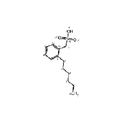 CCCCCCc1ccccc1CS(=O)(=O)O